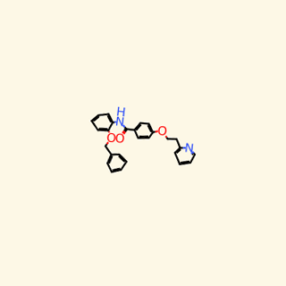 O=C(Nc1ccccc1OCc1ccccc1)c1ccc(OCCc2ccccn2)cc1